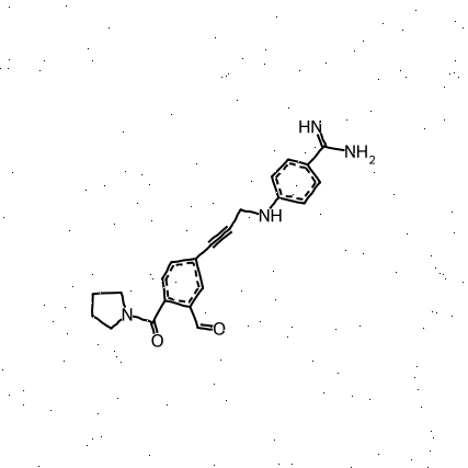 N=C(N)c1ccc(NCC#Cc2ccc(C(=O)N3CCCC3)c(C=O)c2)cc1